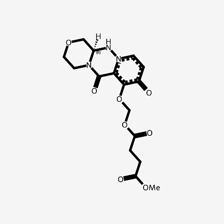 COC(=O)CCC(=O)OCOc1c2n(ccc1=O)N[C@@H]1COCCN1C2=O